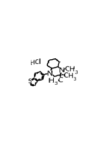 CN1C2CCCCC2N(c2ccc3sccc3c2)CC1(C)C.Cl